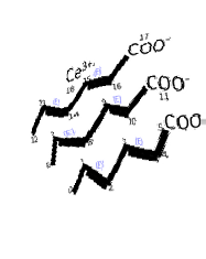 C/C=C/C=C/C(=O)[O-].C/C=C/C=C/C(=O)[O-].C/C=C/C=C/C(=O)[O-].[Ce+3]